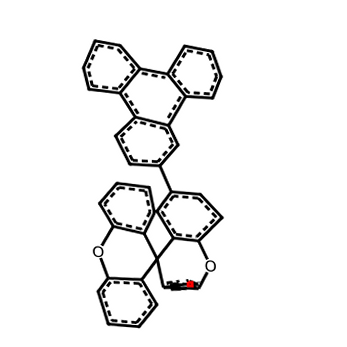 c1ccc2c(c1)Oc1ccccc1C21c2ccccc2Oc2ccc(-c3ccc4c5ccccc5c5ccccc5c4c3)cc21